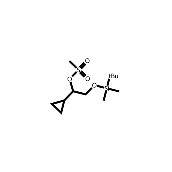 CC(C)(C)[Si](C)(C)OCC(OS(C)(=O)=O)C1CC1